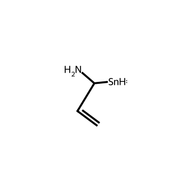 C=C[CH](N)[SnH]